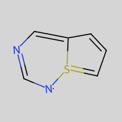 C1=CC2=CN=C[N]S2=C1